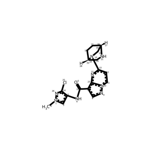 Cn1cc(NC(=O)c2cnn3ccc(N4C[C@@H]5CC[C@H]4CN5)nc23)c(Cl)n1